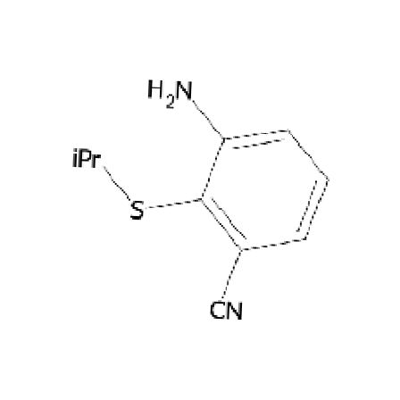 CC(C)Sc1c(N)cccc1C#N